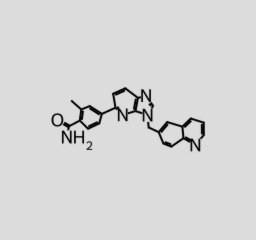 Cc1cc(-c2ccc3ncn(Cc4ccc5ncccc5c4)c3n2)ccc1C(N)=O